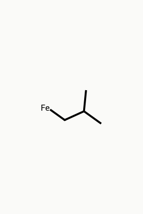 CC(C)[CH2][Fe]